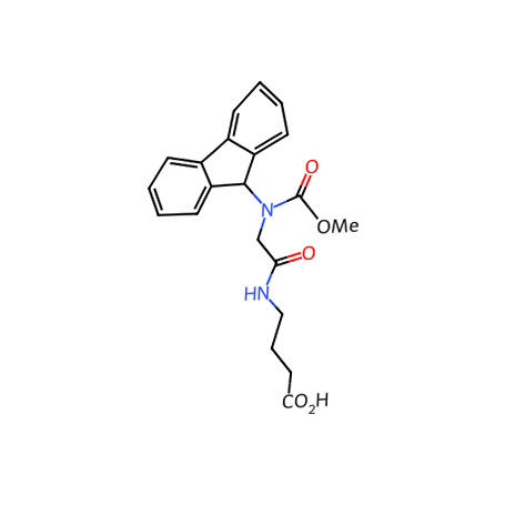 COC(=O)N(CC(=O)NCCCC(=O)O)C1c2ccccc2-c2ccccc21